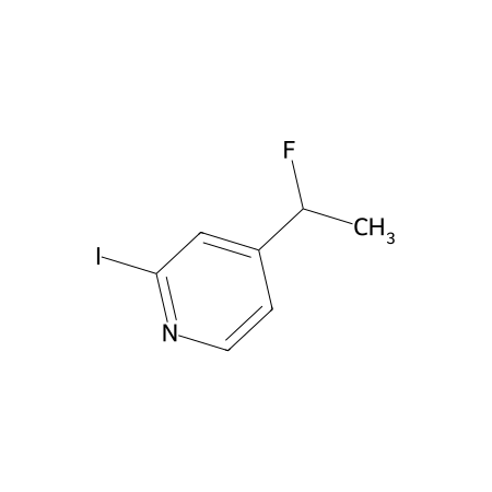 CC(F)c1ccnc(I)c1